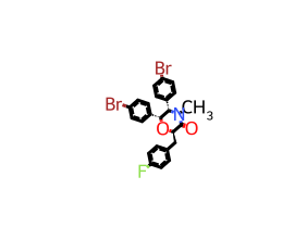 CN1C(=O)[C@@H](Cc2ccc(F)cc2)O[C@H](c2ccc(Br)cc2)[C@@H]1c1ccc(Br)cc1